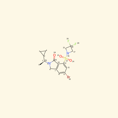 C[C@@H](C1CC1)N1Cc2cc(Br)cc(S(=O)(=O)N3CC(F)(F)C3)c2C1=O